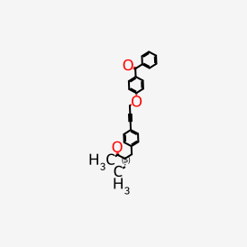 CC[C@@H](Cc1ccc(C#CCOc2ccc(C(=O)c3ccccc3)cc2)cc1)C(C)=O